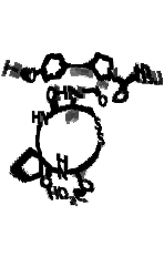 CC(C)(C)C(=O)N1CC[C@H](c2ccc(O)cc2)[C@H]1C(=O)N[C@H]1CSSC[C@@H](OC(=O)O)NC(=O)C2(CCCC2)CCNC1=O